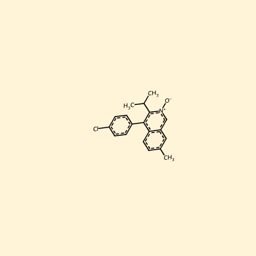 Cc1ccc2c(-c3ccc(Cl)cc3)c(C(C)C)[n+]([O-])cc2c1